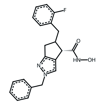 O=C(NO)[C@@H]1c2cn(Cc3ccccc3)nc2CC1Cc1ccccc1F